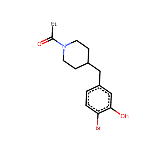 CCC(=O)N1CCC(Cc2ccc(Br)c(O)c2)CC1